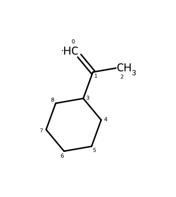 [CH]=C(C)C1CCCCC1